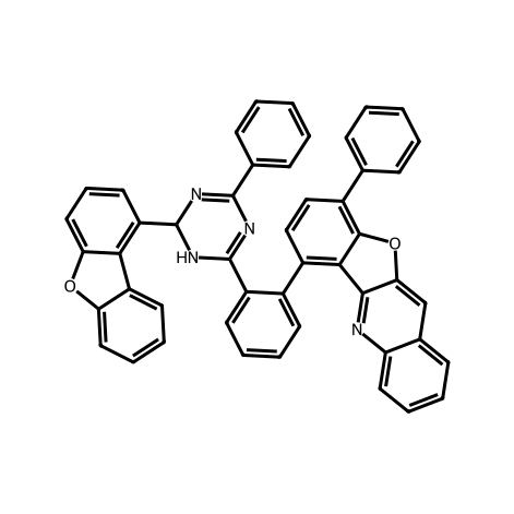 c1ccc(C2=NC(c3cccc4oc5ccccc5c34)NC(c3ccccc3-c3ccc(-c4ccccc4)c4oc5cc6ccccc6nc5c34)=N2)cc1